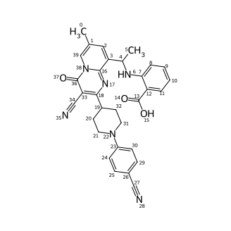 Cc1cc(C(C)Nc2ccccc2C(=O)O)c2nc(C3CCN(c4ccc(C#N)cc4)CC3)c(C#N)c(=O)n2c1